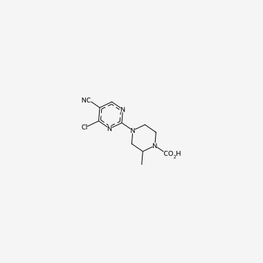 CC1CN(c2ncc(C#N)c(Cl)n2)CCN1C(=O)O